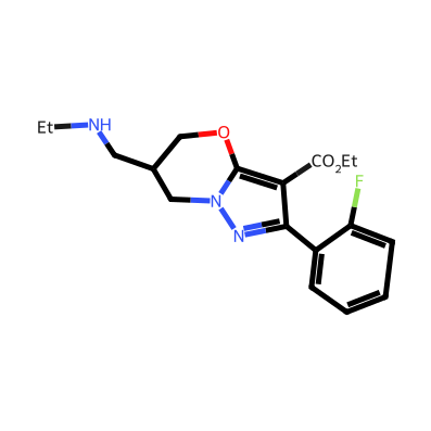 CCNCC1COc2c(C(=O)OCC)c(-c3ccccc3F)nn2C1